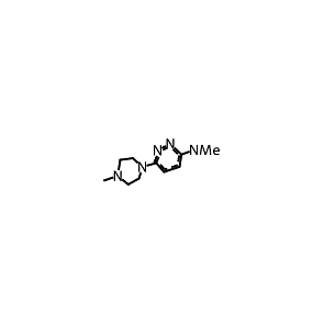 CNc1ccc(N2CCN(C)CC2)nn1